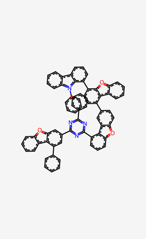 c1ccc(-c2nc(-c3cc(-c4ccccc4)c4c(c3)oc3ccccc34)nc(-c3cccc4oc5ccc(-c6ccc(-c7cccc8c9ccccc9n(-c9ccccc9)c78)c7oc8ccccc8c67)cc5c34)n2)cc1